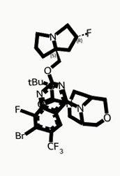 CC(C)(C)OC(=O)N1CC2COCC(C1)N2c1nc(OC[C@@]23CCCN2C[C@H](F)C3)nc2c(F)c(Br)c(C(F)(F)F)cc12